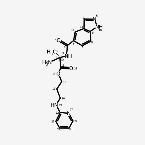 C[C@](N)(NC(=O)c1ccc2[nH]ncc2c1)C(=O)OCCCNc1ccccn1